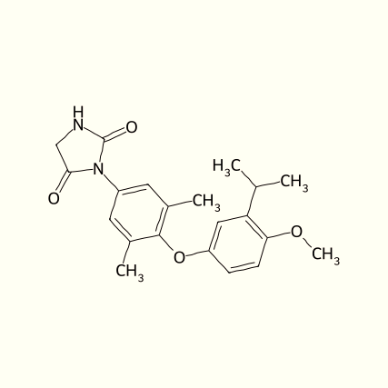 COc1ccc(Oc2c(C)cc(N3C(=O)CNC3=O)cc2C)cc1C(C)C